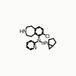 C1CC2CC2C1.CCCN(c1ccccn1)c1c(Cl)ccc2c1CCNCC2